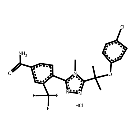 Cl.Cn1c(-c2ccc(C(N)=O)cc2C(F)(F)F)nnc1C(C)(C)Oc1ccc(Cl)cc1